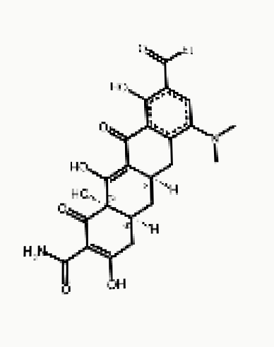 CCC(=O)c1cc(N(C)C)c2c(c1O)C(=O)C1=C(O)[C@]3(O)C(=O)C(C(N)=O)=C(O)C[C@@H]3C[C@@H]1C2